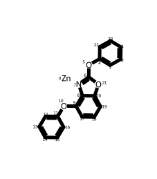 [Zn].c1ccc(Oc2nc3c(Oc4ccccc4)cccc3o2)cc1